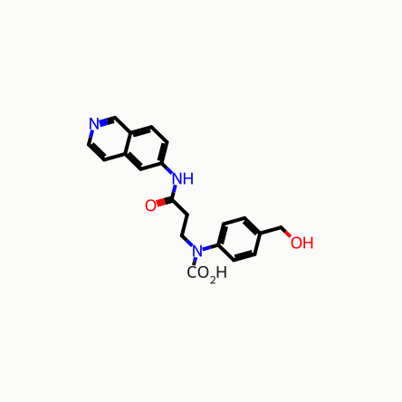 O=C(CCN(C(=O)O)c1ccc(CO)cc1)Nc1ccc2cnccc2c1